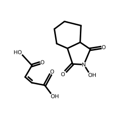 O=C(O)/C=C\C(=O)O.O=C1C2CCCCC2C(=O)N1O